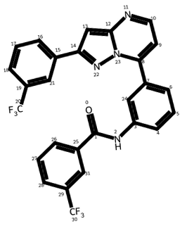 O=C(Nc1cccc(-c2ccnc3cc(-c4cccc(C(F)(F)F)c4)nn23)c1)c1cccc(C(F)(F)F)c1